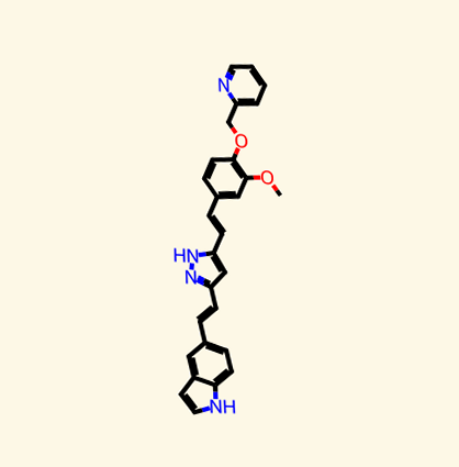 COc1cc(/C=C/c2cc(/C=C/c3ccc4[nH]ccc4c3)n[nH]2)ccc1OCc1ccccn1